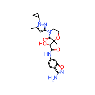 Cc1cc(N2CCOC(C)(C(O)C(=O)Nc3ccc4c(N)noc4c3)C2=O)nn1C1CC1